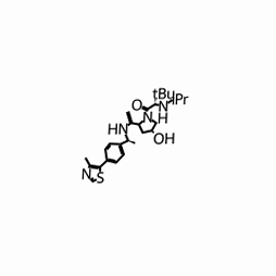 C=C(N[C@@H](C)c1ccc(-c2scnc2C)cc1)C1C[C@H](O)CN1C(=O)[C@@H](NC(C)C)C(C)(C)C